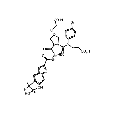 CC(C)(C)[C@H](NC(=O)c1cc2cc(C(F)(F)P(=O)(O)O)ccc2s1)C(=O)N1C[C@H](OCC(=O)O)C[C@H]1C(=O)N(CCC(=O)O)c1ccc(Br)cc1